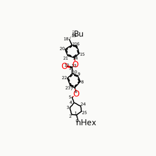 CCCCCCC1CCC(COc2ccc(C(=O)Oc3ccc(C[C@@H](C)CC)cc3)cc2)CC1